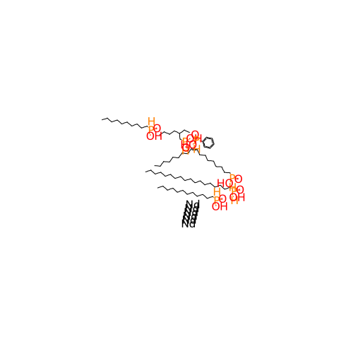 CCCCC(CC)C[PH](=O)O.CCCCCCCC/C=C\CCCCCCCC[PH](=O)O.CCCCCCCCCCCCCCCCCC[PH](=O)O.CCCCCCCCCCCC[PH](=O)O.CCCCCCCCCC[PH](=O)O.O=[PH](O)c1ccccc1.[Nd].[Nd].[Nd].[Nd].[Nd].[Nd]